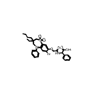 CCCCC1(CC)CN(c2ccccc2)c2cc(Br)c(OCC(=O)NC(C(=O)O)c3ccccc3)cc2S(=O)(=O)C1